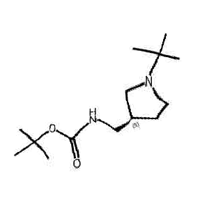 CC(C)(C)OC(=O)NC[C@@H]1CCN(C(C)(C)C)C1